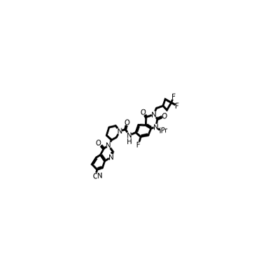 CC(C)n1c(=O)n(CC2CC(F)(F)C2)c(=O)c2cc(NC(=O)N3CCCC(n4cnc5cc(C#N)ccc5c4=O)C3)c(F)cc21